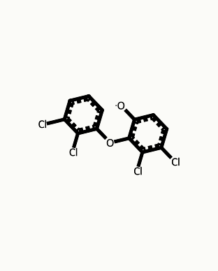 [O]c1ccc(Cl)c(Cl)c1Oc1cccc(Cl)c1Cl